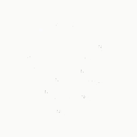 CCOC(=O)N1Cc2ncccc2OC/C=C/CCOc2nc(N)c([N+](=O)[O-])c1n2